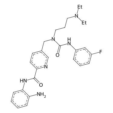 CCN(CC)CCCN(Cc1ccc(C(=O)Nc2ccccc2N)nc1)C(=O)Nc1cccc(F)c1